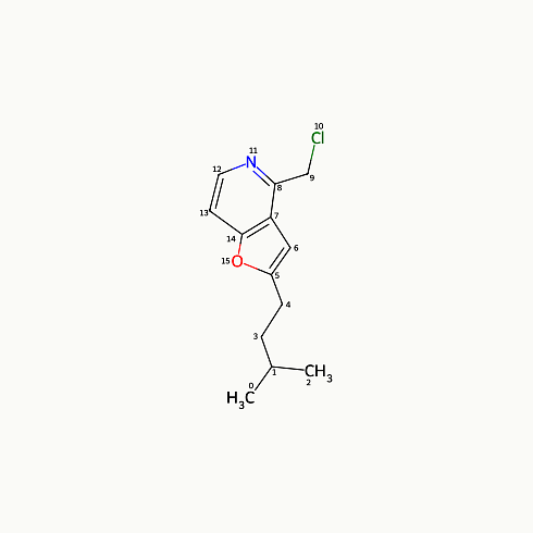 CC(C)CCc1cc2c(CCl)nccc2o1